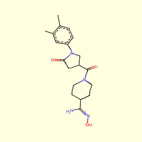 Cc1ccc(N2CC(C(=O)N3CCC(/C(N)=N/O)CC3)CC2=O)cc1C